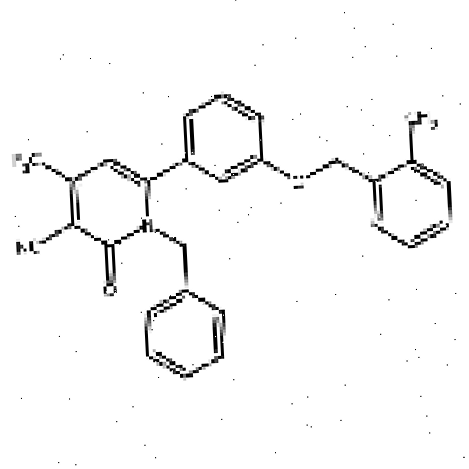 Cc1ccccc1COc1cccc(-c2cc(C(F)(F)F)c(C#N)c(=O)n2Cc2ccccc2)c1